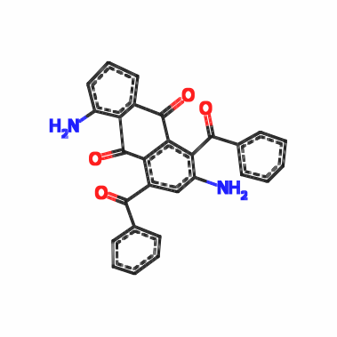 Nc1cccc2c1C(=O)c1c(C(=O)c3ccccc3)cc(N)c(C(=O)c3ccccc3)c1C2=O